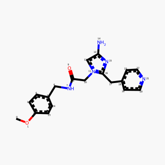 COc1ccc(CNC(=O)Cn2cc(N)nc2Cc2ccncc2)cc1